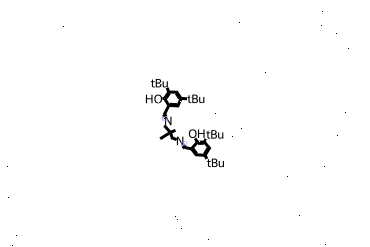 CC(C)(C/N=C/c1cc(C(C)(C)C)cc(C(C)(C)C)c1O)C/N=C/c1cc(C(C)(C)C)cc(C(C)(C)C)c1O